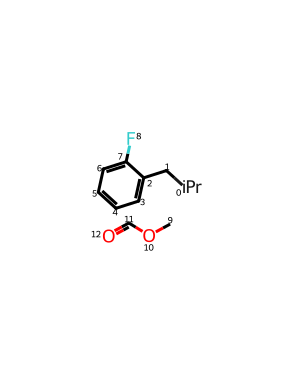 CC(C)Cc1ccccc1F.COC=O